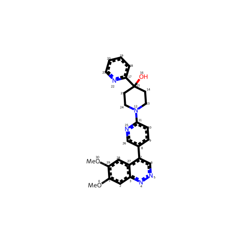 COc1cc2nncc(-c3ccc(N4CCC(O)(c5ccccn5)CC4)nc3)c2cc1OC